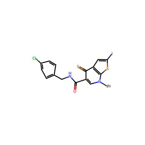 CC(C)n1cc(C(=O)NCc2ccc(Cl)cc2)c(=S)c2cc(I)sc21